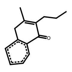 CCCC1=C(C)Cc2ccccc2C1=O